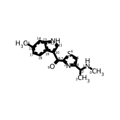 CNC(C)c1csc(C(=O)c2c[nH]c3cc(C)ccc23)n1